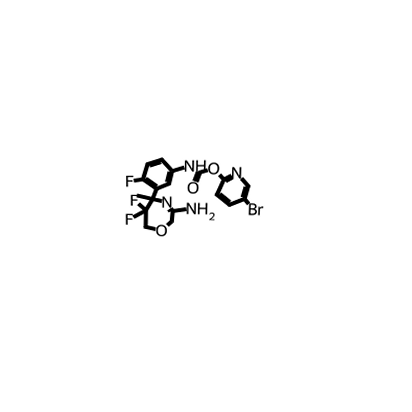 CC1(c2cc(NC(=O)Oc3ccc(Br)cn3)ccc2F)N=C(N)COCC1(F)F